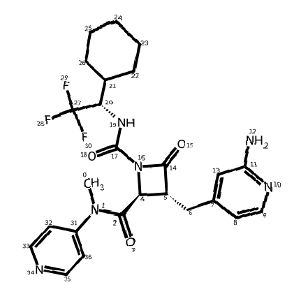 CN(C(=O)[C@@H]1[C@@H](Cc2ccnc(N)c2)C(=O)N1C(=O)N[C@@H](C1CCCCC1)C(F)(F)F)c1ccncc1